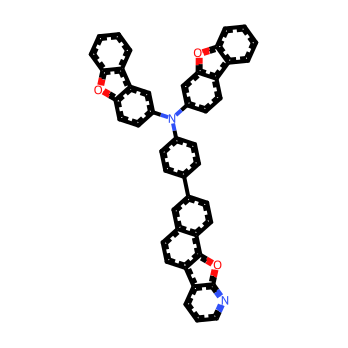 c1ccc2c(c1)oc1cc(N(c3ccc(-c4ccc5c(ccc6c7cccnc7oc56)c4)cc3)c3ccc4oc5ccccc5c4c3)ccc12